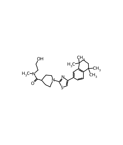 CN(CCO)C(=O)C1CCN(c2nc(-c3ccc4c(c3)C(C)(C)CCC4(C)C)cs2)CC1